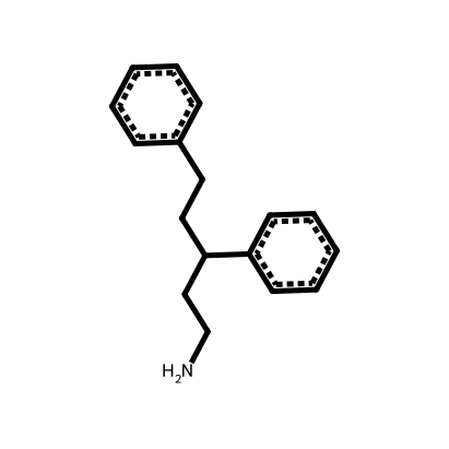 NCCC(CCc1ccccc1)c1ccccc1